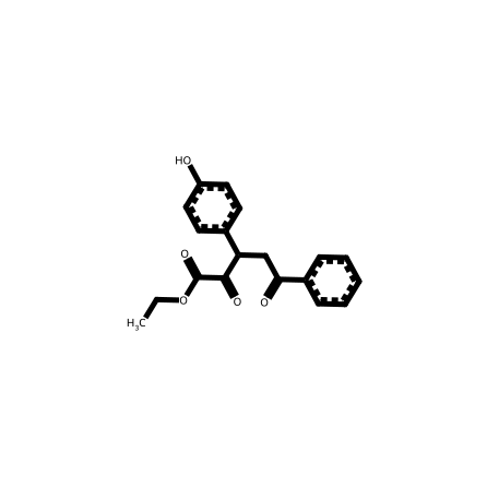 CCOC(=O)C(=O)C(CC(=O)c1ccccc1)c1ccc(O)cc1